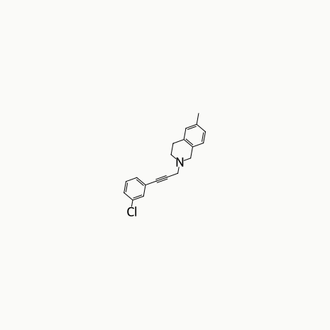 Cc1ccc2c(c1)CCN(CC#Cc1cccc(Cl)c1)C2